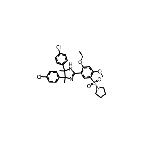 CCOc1cc(OC)c(S(=O)(=O)N2CCCC2)cc1C1=NC(C)(c2ccc(Cl)cc2)C(C)(c2ccc(Cl)cc2)N1